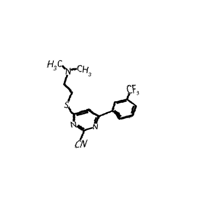 CN(C)CCSc1cc(-c2cccc(C(F)(F)F)c2)nc(C#N)n1